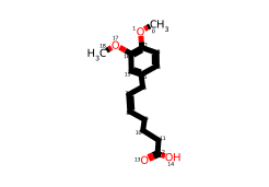 COc1ccc(C/C=C\CCCC(=O)O)cc1OC